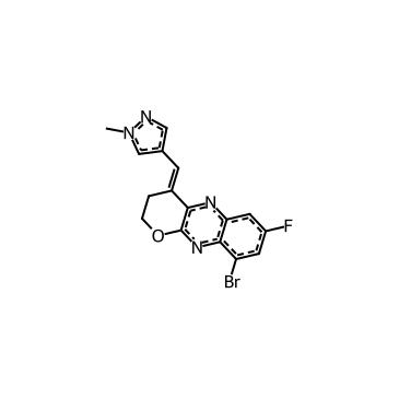 Cn1cc(C=C2CCOc3nc4c(Br)cc(F)cc4nc32)cn1